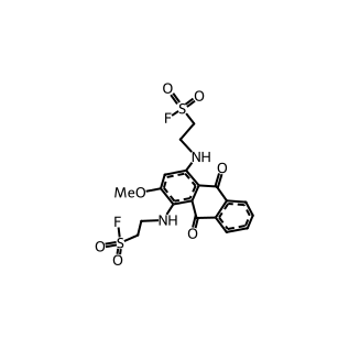 COc1cc(NCCS(=O)(=O)F)c2c(c1NCCS(=O)(=O)F)C(=O)c1ccccc1C2=O